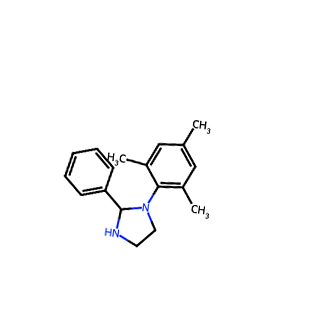 Cc1cc(C)c(N2CCNC2c2ccccc2)c(C)c1